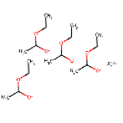 CCOC(C)[O-].CCOC(C)[O-].CCOC(C)[O-].CCOC(C)[O-].[Pb+4]